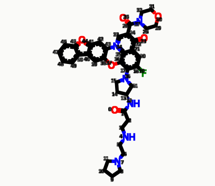 O=C(CCNCCN1CCCC1)N[C@@H]1CCN(c2c(F)cc3c(=O)c(C(=O)N4CCOCC4)cn4c3c2Oc2cc3c(cc2-4)oc2ccccc23)C1